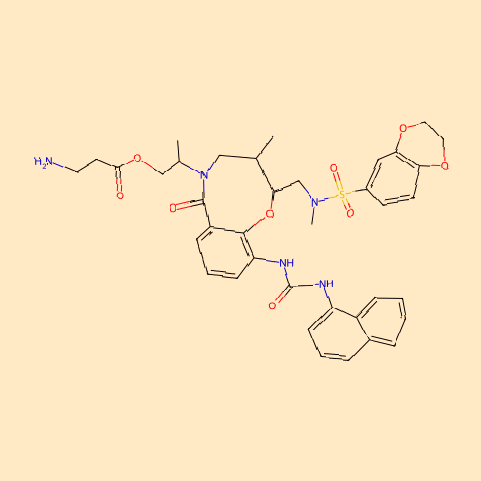 CC1CN(C(C)COC(=O)CCN)C(=O)c2cccc(NC(=O)Nc3cccc4ccccc34)c2OC1CN(C)S(=O)(=O)c1ccc2c(c1)OCCO2